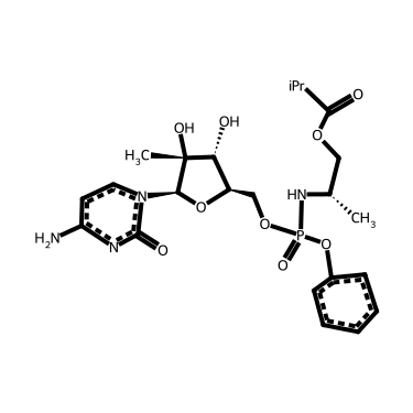 CC(C)C(=O)OC[C@H](C)NP(=O)(OC[C@H]1O[C@@H](n2ccc(N)nc2=O)[C@](C)(O)[C@@H]1O)Oc1ccccc1